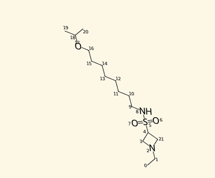 CCN1CC(S(=O)(=O)NCCCCCCCCOC(C)C)C1